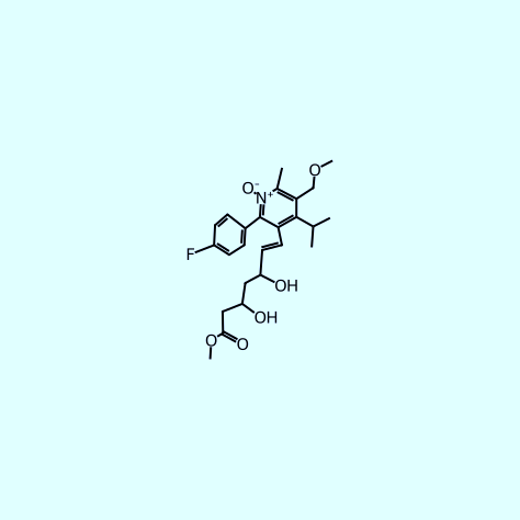 COCc1c(C(C)C)c(/C=C/C(O)CC(O)CC(=O)OC)c(-c2ccc(F)cc2)[n+]([O-])c1C